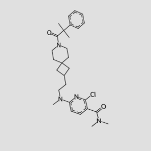 CN(C)C(=O)c1ccc(N(C)CCC2CC3(CCN(C(=O)C(C)(C)c4ccccc4)CC3)C2)nc1Cl